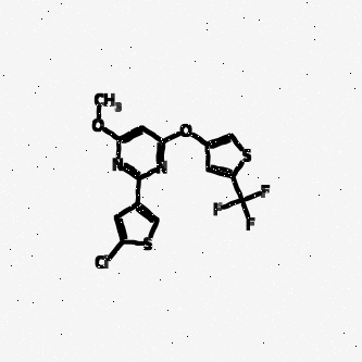 COc1cc(Oc2csc(C(F)(F)F)c2)nc(-c2csc(Cl)c2)n1